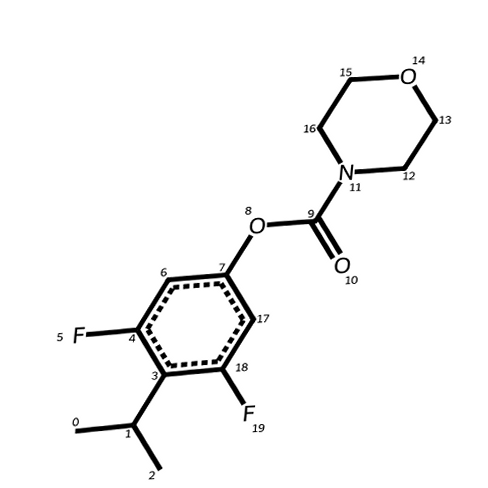 CC(C)c1c(F)cc(OC(=O)N2CCOCC2)cc1F